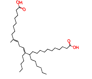 CCCCCCC(CCCCCCCCCCC(=O)O)/C(=C/C/C=C(\C)CCCCCCCC(=O)O)CCCCC